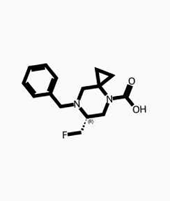 O=C(O)N1C[C@H](CF)N(Cc2ccccc2)CC12CC2